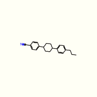 CCCc1ccc(C2CCC(c3ccc(C#N)cc3)CC2)cc1